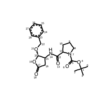 CC(C)(C)OC(=O)N1CCCC1C(=O)NC1CC(=O)O[C@H]1OCc1ccccc1